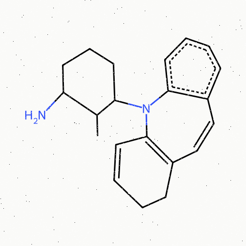 CC1C(N)CCCC1N1C2=C(C=Cc3ccccc31)CCC=C2